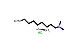 CCCCCCCCCCCCCCCCCCN(C)C.CCC[SiH3].Cl